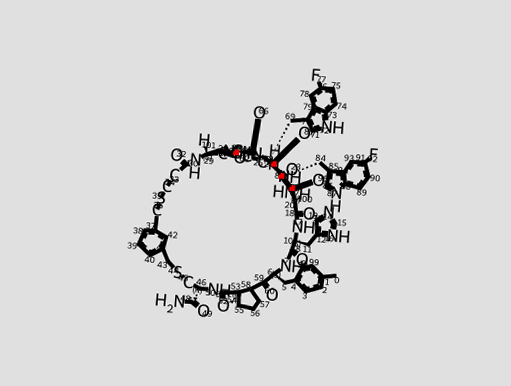 Cc1ccc(C[C@@H]2NC(=O)[C@H](Cc3cnc[nH]3)NC(=O)[C@@H]3CC(=O)NCCCC[C@H](NC(=O)CCSCc4cccc(c4)CSC[C@@H](C(N)=O)NC(=O)[C@]4(C)CCCC4C2=O)C(=O)NCC(=O)N[C@@H](Cc2c[nH]c4ccc(F)cc24)C(=O)N[C@@H](Cc2c[nH]c4ccc(F)cc24)C(=O)N3)cc1